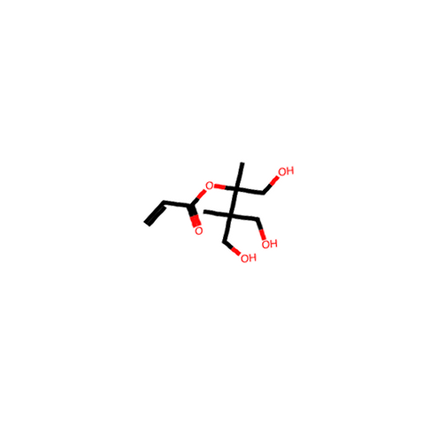 C=CC(=O)OC(C)(CO)C(C)(CO)CO